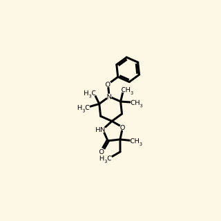 CCC1(C)OC2(CC(C)(C)N(Oc3ccccc3)C(C)(C)C2)NC1=O